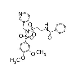 COc1ccc(S(=O)(=O)N(Cc2cccnc2)S(=O)(=O)CCNC(=O)c2ccccc2)cc1OC